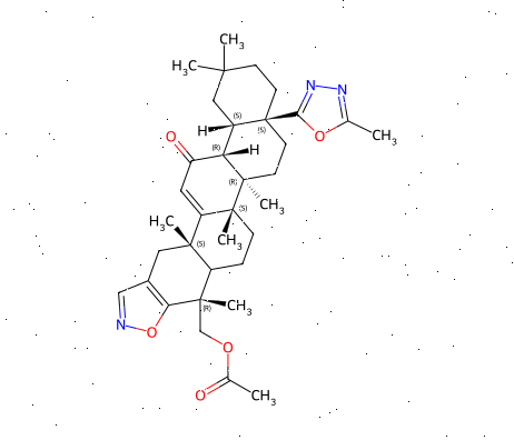 CC(=O)OC[C@]1(C)c2oncc2C[C@]2(C)C3=CC(=O)[C@@H]4[C@@H]5CC(C)(C)CC[C@]5(c5nnc(C)o5)CC[C@@]4(C)[C@]3(C)CCC21